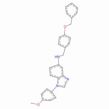 COc1ccc(-n2cnc3cc(NCc4ccc(OCc5ccccc5)cc4)ccc32)cc1